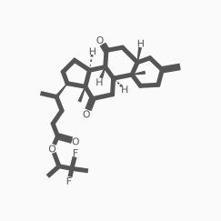 C=C1CC[C@@]2(C)[C@@H](C1)CC(=O)[C@@H]1[C@@H]2CC(=O)[C@]2(C)[C@@H](C(C)CCC(=O)OC(C)C(C)(F)F)CC[C@@H]12